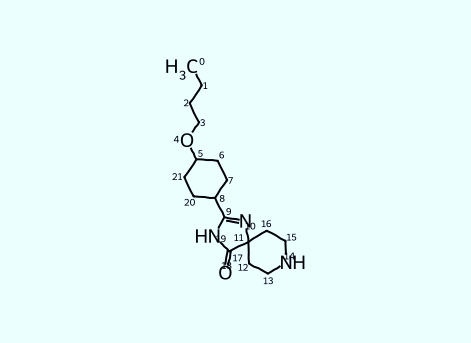 CCCCOC1CCC(C2=NC3(CCNCC3)C(=O)N2)CC1